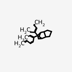 C=C/C=C\C(=C/C)C1(/C(C=C)=C/C=C)CC2CC1C1CCCC21